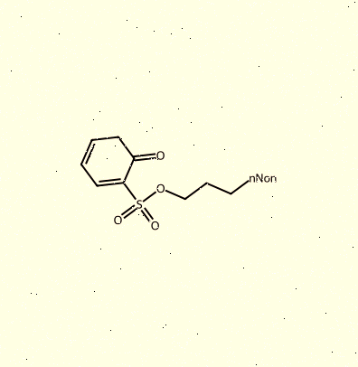 CCCCCCCCCCCCOS(=O)(=O)C1=CC=CCC1=O